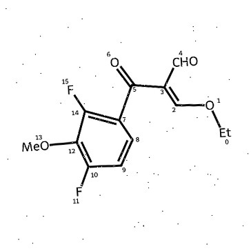 CCOC=C(C=O)C(=O)c1ccc(F)c(OC)c1F